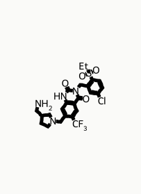 CCS(=O)(=O)c1ccc(Cl)cc1Cn1c(=O)[nH]c2cc(CN3CCC(CN)C3)c(C(F)(F)F)cc2c1=O